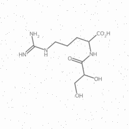 N=C(N)NCCCC(NC(=O)C(O)CO)C(=O)O